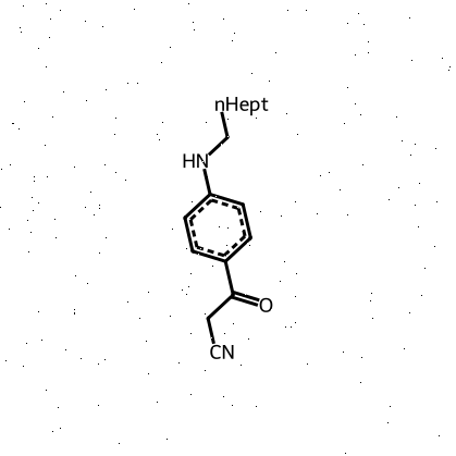 CCCCCCCCNc1ccc(C(=O)CC#N)cc1